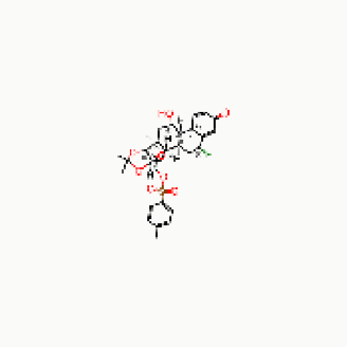 Cc1ccc(S(=O)(=O)OCC(=O)[C@@]23OC(C)(C)O[C@@H]2C[C@H]2[C@@H]4C[C@H](F)C5=CC(=O)C=C[C@]5(C)[C@H]4[C@@H](O)C[C@@]23C)cc1